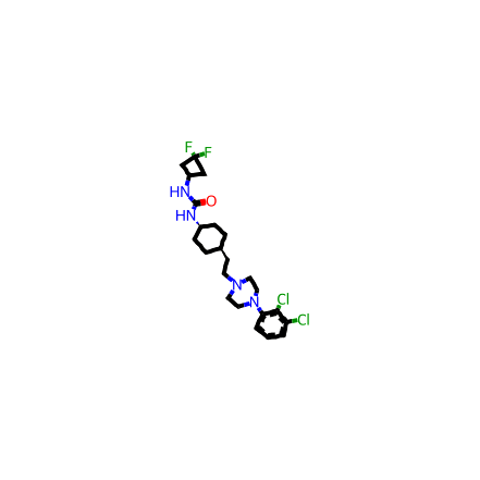 O=C(NC1CC(F)(F)C1)N[C@H]1CC[C@H](CCN2CCN(c3cccc(Cl)c3Cl)CC2)CC1